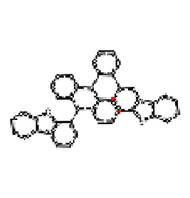 c1ccc(-c2c3ccccc3c(-c3cccc4c3oc3ccccc34)c3ccccc23)c(-c2ccc3sc4ccccc4c3c2)c1